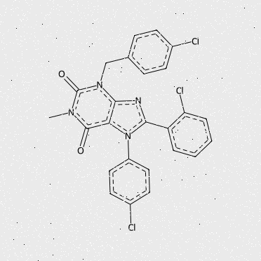 Cn1c(=O)c2c(nc(-c3ccccc3Cl)n2-c2ccc(Cl)cc2)n(Cc2ccc(Cl)cc2)c1=O